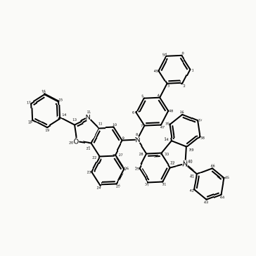 c1ccc(-c2ccc(N(c3cc4nc(-c5ccccc5)oc4c4ccccc34)c3cccc4c3c3ccccc3n4-c3ccccc3)cc2)cc1